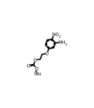 CC(C)(C)OC(=O)OCCOc1ccc([N+](=O)[O-])c(N)c1